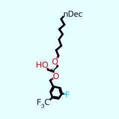 CCCCCCCCCCCCCCCCCCOC[C@H](CO)OCc1cc(F)cc(C(F)(F)F)c1